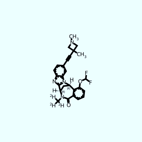 [2H]C([2H])([2H])N1C(=O)c2cccc(OC(F)F)c2[C@H]2C[C@@H]1c1nc3ccc(C#CC4(C)CN(C)C4)cc3n12